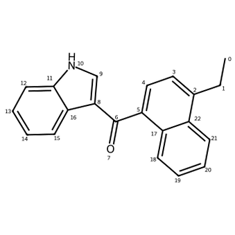 CCc1ccc(C(=O)c2c[nH]c3ccccc23)c2ccccc12